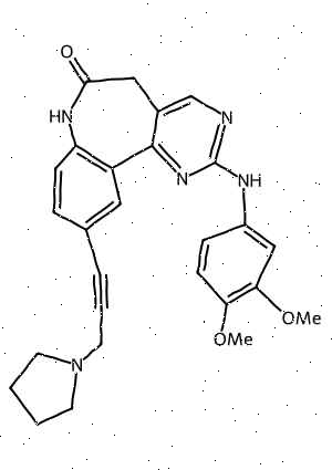 COc1ccc(Nc2ncc3c(n2)-c2cc(C#CCN4CCCC4)ccc2NC(=O)C3)cc1OC